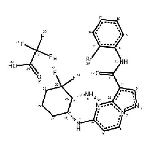 N[C@@H]1[C@H](Nc2ccn3ncc(C(=O)Nc4ccccc4Br)c3n2)CCCC1(F)F.O=C(O)C(F)(F)F